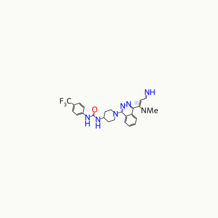 CN/C(=C\C=N)c1nnc(N2CCC(NC(=O)Nc3ccc(C(F)(F)F)cc3)CC2)c2ccccc12